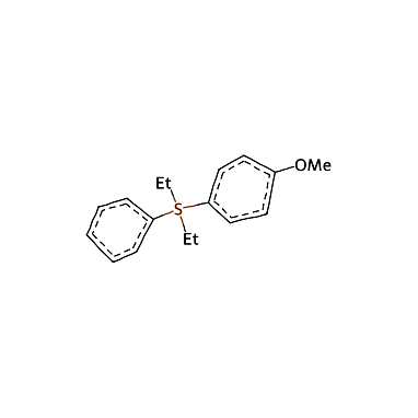 CCS(CC)(c1ccccc1)c1ccc(OC)cc1